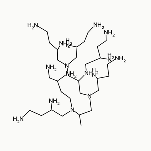 CC(CN(CC(N)CCN)CC(CN(CC(N)CCN)CC(N)CCN)NCC(N)CCN)N(CCC(N)CN)CC(N)CCN